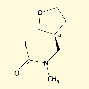 CN(C[C@@H]1CCOC1)C(=O)I